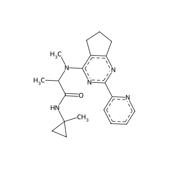 CC(C(=O)NC1(C)CC1)N(C)c1nc(-c2ccccn2)nc2c1CCC2